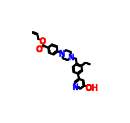 C=CCOC(=O)c1ccc(N2CCN(Cc3ccc(-c4cncc(O)c4)cc3CC)CC2)cc1